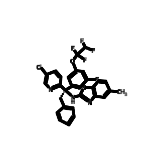 Cc1ccc2[nH]c(N[C@](Cc3ccccc3)(c3cc(F)cc(OC(F)(F)C(F)F)c3)c3ccc(Cl)cn3)nc2c1